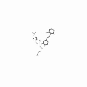 CC(C)n1cnc(S(=O)(=O)N2C[C@H](CCC(=O)O)Oc3ccc(/C=C/c4c(F)cccc4Cl)cc32)c1